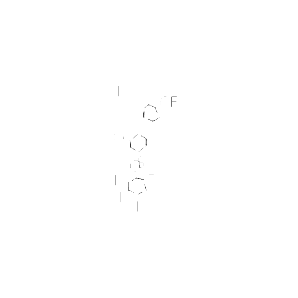 FCCc1cc(C(F)(F)F)ccc1C1CCOc2cc(SOc3c(F)c(F)c(F)c(F)c3F)ccc21